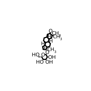 CC1(C)C[C@H]2C(=CC1=O)CC[C@@H]1[C@@H]2CC[C@]2(C)[C@@H](OC3O[C@H](CO)[C@@H](O)[C@H](O)[C@H]3O)CC[C@@H]12